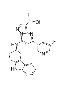 C[C@H](O)c1cnn2c(N[C@@H]3CCc4[nH]c5ccccc5c4C3)cc(-c3cncc(F)c3)nc12